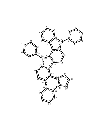 c1ccc(-n2c3ccccc3c3c2ccc2c4c(ccc5c6ncccc6c6nccn6c54)n(-c4ccccc4)c23)cc1